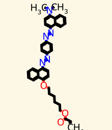 C=CC(=O)OCCCCCCOc1ccc(N=Nc2ccc(N=Nc3ccc(N(C)C)c4ccccc34)cc2)c2ccccc12